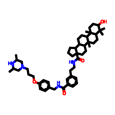 CC1CN(CCCOc2ccc(CNC(=O)c3cccc(CCNC(=O)C45CCCC4C4CCC6C(C)(CCC7C(C)(C)C(O)CCC76C)C4CC5)c3)cc2)CC(C)N1